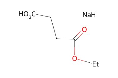 CCOC(=O)CCC(=O)O.[NaH]